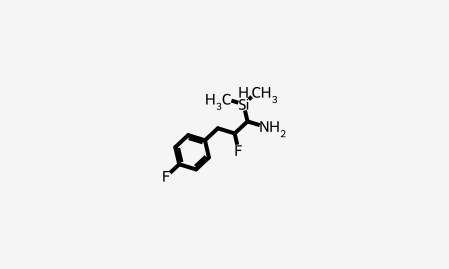 C[SiH](C)C(N)C(F)Cc1ccc(F)cc1